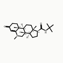 CN1C[C@H]2[C@@H]3CC[C@H](C(=O)NC(C)(C)C)[C@@]3(C)CC[C@@H]2[C@@]2(C)CCC(=O)C=C12